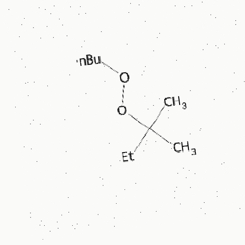 CCC[CH]OOC(C)(C)CC